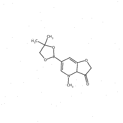 CN1C=C(B2OCC(C)(C)O2)C=C2OCC(=O)C21